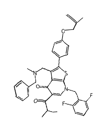 C=C(C)COc1ccc(-c2sc3c(c2CN(C)Cc2ccccc2)c(=O)c(C(=O)C(C)C)cn3Cc2c(F)cccc2F)cc1